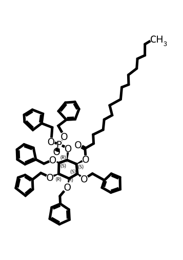 CCCCCCCCCCCCCCCC(=O)O[C@H]1[C@@H](OCc2ccccc2)[C@H](OCc2ccccc2)[C@@H](OCc2ccccc2)[C@H](OCc2ccccc2)[C@H]1OP(=O)(OCc1ccccc1)OCc1ccccc1